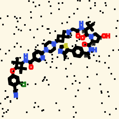 Cc1ncsc1-c1ccc([C@H](C)NC(=O)[C@@H]2C[C@@H](O)CN2C(=O)[C@@H](NC(=O)CN2CC3(CC(N4CCN(c5ccc(C(=O)NC6C(C)(C)C(Oc7ccc(C#N)c(Cl)c7)C6(C)C)cn5)CC4)C3)C2)C(C)(C)C)cc1